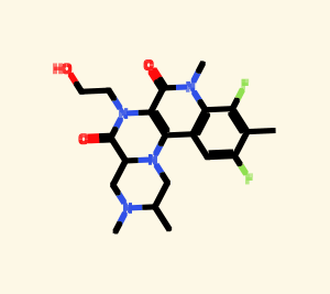 Cc1c(F)cc2c3c(c(=O)n(C)c2c1F)N(CCO)C(=O)C1CN(C)C(C)CN31